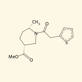 COC(=O)[C@@H]1CC[C@H](C)N(C(=O)Cc2cccs2)C1